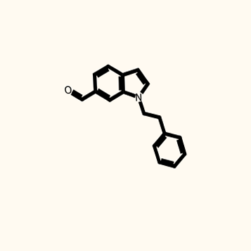 O=Cc1ccc2ccn(CCc3ccccc3)c2c1